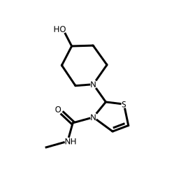 CNC(=O)N1C=CSC1N1CCC(O)CC1